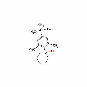 CCCCCCC(C)(C)c1cc(C)c(C2(O)CCCCC2)c(OC)c1